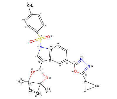 Cc1ccc(S(=O)(=O)n2cc(B3OC(C)(C)C(C)(C)O3)c3cc(-c4nnc(C5CC5)o4)ccc32)cc1